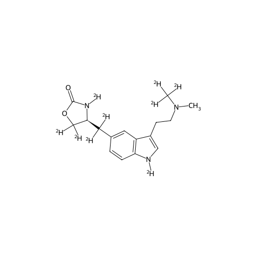 [2H]N1C(=O)OC([2H])([2H])[C@@H]1C([2H])([2H])c1ccc2c(c1)c(CCN(C)C([2H])([2H])[2H])cn2[2H]